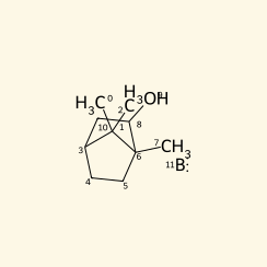 CC1(C)C2CCC1(C)C(O)C2.[B]